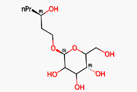 CCC[C@@H](O)CCO[C@H]1OC(CO)[C@H](O)C(O)C1O